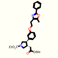 CCOC(=O)N1C[C@@H](CC(=O)OC)[C@H](c2cccc(OCCc3nc(-c4ccccc4)oc3C)c2)C1